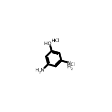 Cl.Cl.Nc1cc(N)cc(O)c1